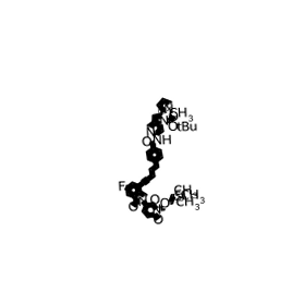 CN1CCC[C@@H]1c1cc2cnc(NC(=O)c3ccc(CCCC#Cc4cc(F)cc5c4CN(C4CCC(=O)N(COCC[Si](C)(C)C)C4=O)C5=O)cc3)cc2n1C(=O)OC(C)(C)C